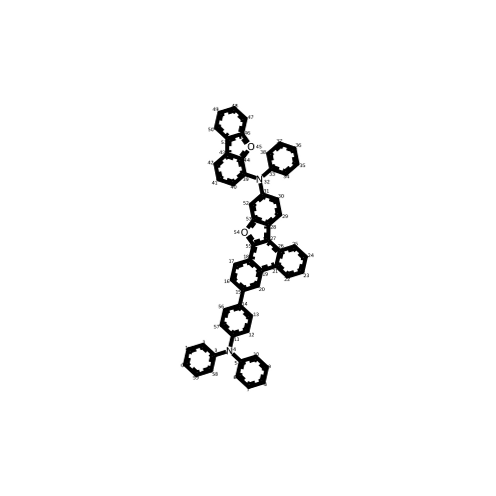 c1ccc(N(c2ccccc2)c2ccc(-c3ccc4c(c3)c3ccccc3c3c5ccc(N(c6ccccc6)c6cccc7c6oc6ccccc67)cc5oc43)cc2)cc1